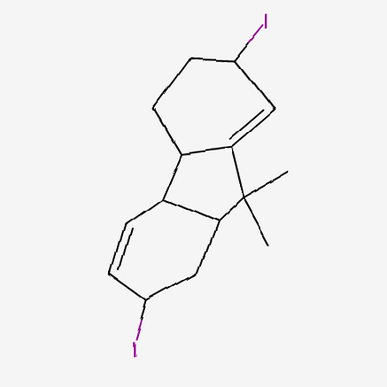 CC1(C)C2=CC(I)CCC2C2C=CC(I)CC21